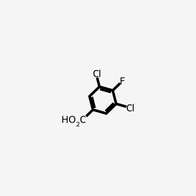 O=C(O)c1cc(Cl)c(F)c(Cl)c1